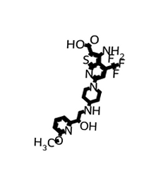 COc1cccc(C(O)CNC2CCN(c3cc(C(F)(F)F)c4c(N)c(C(=O)O)sc4n3)CC2)n1